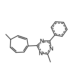 Cc1nc(C2=CC=CC(C)C=C2)nc(-c2ccccc2)n1